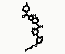 CN1CCN(C(=O)c2cc3cc(Nc4nccc(-c5cc(OCCCF)ccn5)n4)ccc3[nH]2)CC1